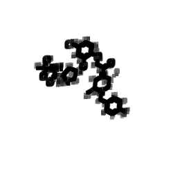 C[C@@H]1CN(Cc2ccc(F)cc2)[C@@H](C)CN1C(=O)COc1ccc(Cl)cc1O[C@@H]1CN[C@H](C(=O)NS(C)(=O)=O)C1